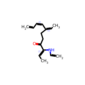 C=C/C=C\C(=C/C)CCC(=O)/C(=C/C)NC=C